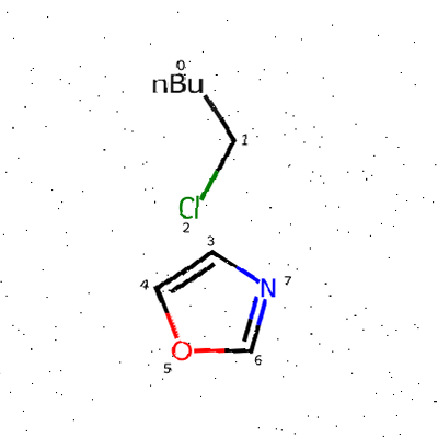 CCCCCCl.c1cocn1